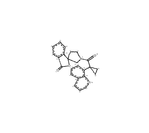 O=C1OC2(CCN(C(=O)C3(c4cccc5cccnc45)CC3)C2)c2ccccc21